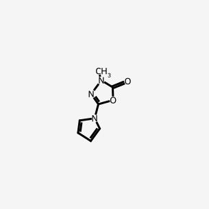 Cn1nc(-n2cccc2)oc1=O